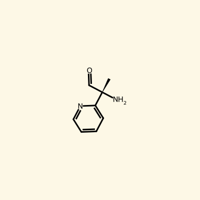 C[C@](N)(C=O)c1ccccn1